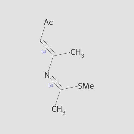 CS/C(C)=N\C(C)=C\C(C)=O